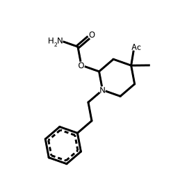 CC(=O)C1(C)CCN(CCc2ccccc2)C(OC(N)=O)C1